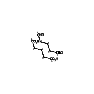 O=C(O)CCCC(=O)O.O=CCCCC=O